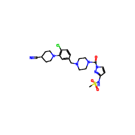 CS(=O)(=O)Nc1ccn(C(=O)N2CCN(Cc3ccc(Cl)c(N4CCC(C#N)CC4)c3)CC2)n1